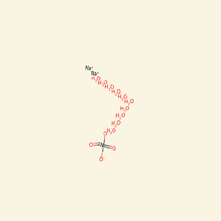 O.O.O.O.O.O.O.O.O.O.[Na+].[Na+].[O]=[Mn](=[O])([O-])[O-]